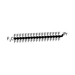 CC(C)CC(F)(F)C(F)(F)C(F)(F)C(F)(F)C(F)(F)C(F)(F)C(F)(F)C(F)(F)C(F)(F)C(F)(F)C(F)(F)C(F)(F)C(F)(F)C(F)(F)C(F)(F)C(F)(F)C(F)(F)C(F)(F)F